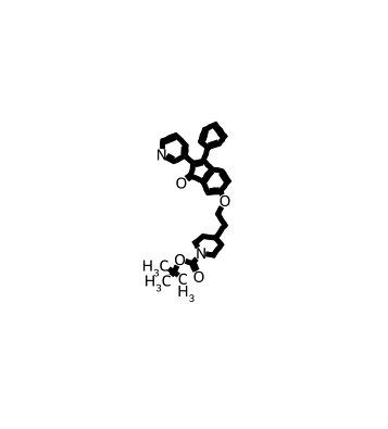 CC(C)(C)OC(=O)N1CCC(CCOc2ccc3c(c2)C(=O)C(c2cccnc2)=C3c2ccccc2)CC1